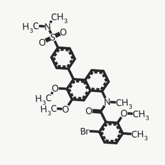 COc1cc2c(N(C)C(=O)c3c(Br)ccc(C)c3OC)cccc2c(-c2ccc(S(=O)(=O)N(C)C)cc2)c1OC